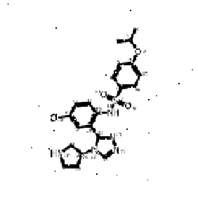 CC(C)Oc1ccc(S(=O)(=O)Nc2ccc(Cl)cc2-c2nncn2[C@H]2CCNC2)cc1